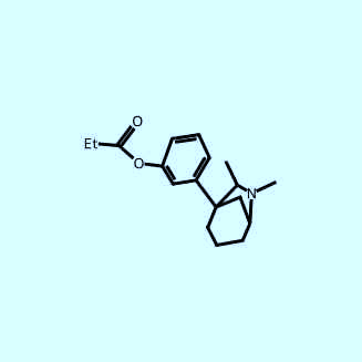 CCC(=O)Oc1cccc(C23CCCC(C2)N(C)C3C)c1